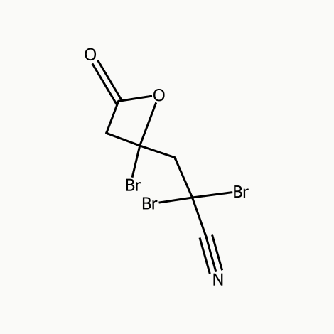 N#CC(Br)(Br)CC1(Br)CC(=O)O1